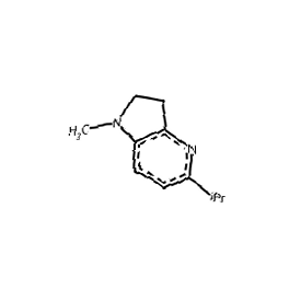 CC(C)c1ccc2c(n1)CCN2C